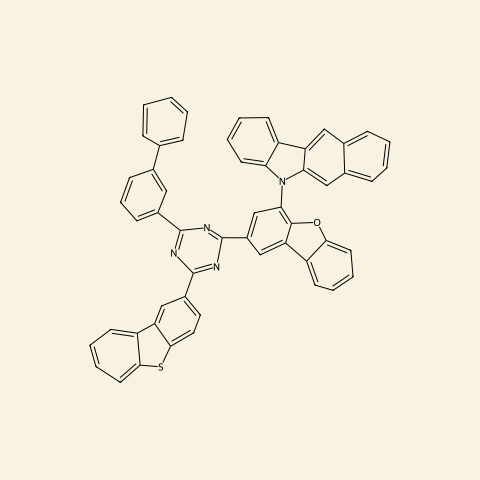 c1ccc(-c2cccc(-c3nc(-c4ccc5sc6ccccc6c5c4)nc(-c4cc(-n5c6ccccc6c6cc7ccccc7cc65)c5oc6ccccc6c5c4)n3)c2)cc1